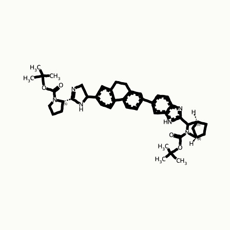 CC(C)(C)OC(=O)N1CCC[C@H]1C1=NCC(c2ccc3c(c2)CCc2cc(-c4ccc5nc(C6[C@H]7CC[C@H](C7)N6C(=O)OC(C)(C)C)[nH]c5c4)ccc2-3)N1